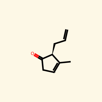 C=CC[C@@H]1C(=O)C[C]=C1C